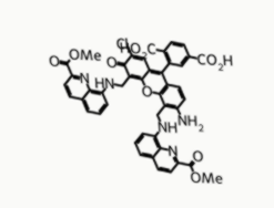 COC(=O)c1ccc2cccc(NCc3c4oc5c(CNc6cccc7ccc(C(=O)OC)nc67)c(N)ccc5c(-c5cc(C(=O)O)ccc5C(=O)O)c-4cc(Cl)c3=O)c2n1